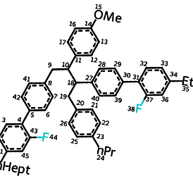 CCCCCCCc1ccc(-c2ccc(CC(c3ccc(OC)cc3)C(Cc3ccc(CCC)cc3)c3ccc(-c4ccc(CC)cc4F)cc3)cc2)c(F)c1